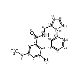 CCc1cc(SC(F)(F)F)cc(C(=O)NCc2ncnn2-c2ccccn2)c1